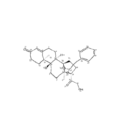 C[C@]12CC[C@H]3[C@@H](CCC4=CC(=O)CC[C@@]43C)[C@]13CC[C@]2(C(=O)CO)OC(c1ccccc1)O3